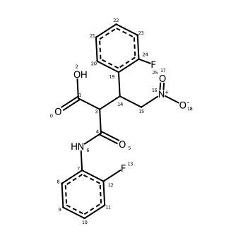 O=C(O)C(C(=O)Nc1ccccc1F)C(C[N+](=O)[O-])c1ccccc1F